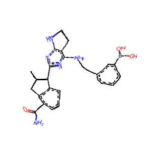 CC1Cc2c(C(N)=O)cccc2C1c1nc2c(c(NCc3cccc(B(O)O)c3)n1)CCN2